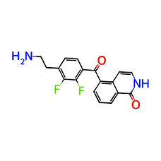 NCCc1ccc(C(=O)c2cccc3c(=O)[nH]ccc23)c(F)c1F